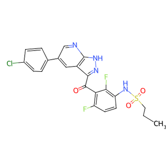 CCCS(=O)(=O)Nc1ccc(F)c(C(=O)c2n[nH]c3ncc(-c4ccc(Cl)cc4)cc23)c1F